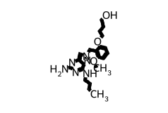 CCCCNc1nc(N)nc2cn(Cc3c(OC)cccc3OCCCCO)nc12